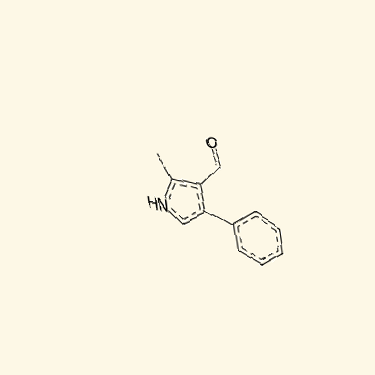 Cc1[nH]cc(-c2ccccc2)c1C=O